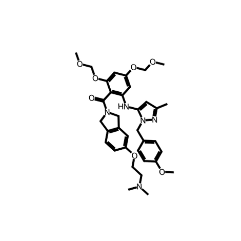 COCOc1cc(Nc2cc(C)nn2Cc2ccc(OC)cc2)c(C(=O)N2Cc3ccc(OCCN(C)C)cc3C2)c(OCOC)c1